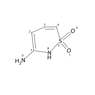 NC1=CC=CS(=O)(=O)N1